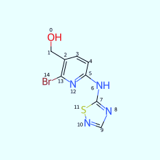 OCc1ccc(Nc2ncns2)nc1Br